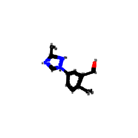 Cc1ncn(-c2ccc(C)c(C=O)c2)n1